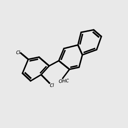 O=Cc1cc2ccccc2cc1-c1cc(Cl)ccc1Cl